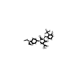 CCn1cnc2cc(-n3cc(C(=O)O)c(=O)n(Cc4cccc(F)c4C(F)(F)F)c3=O)ccc21